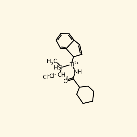 C[SiH](C)[Ti+2]([NH]C(=O)C1CCCCC1)[CH]1C=Cc2ccccc21.[Cl-].[Cl-]